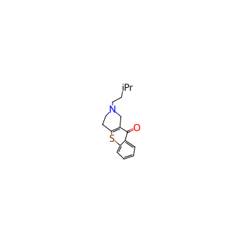 CC(C)CCN1CCc2sc3ccccc3c(=O)c2C1